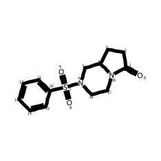 O=C1CCC2CN(S(=O)(=O)c3ccccc3)CCN12